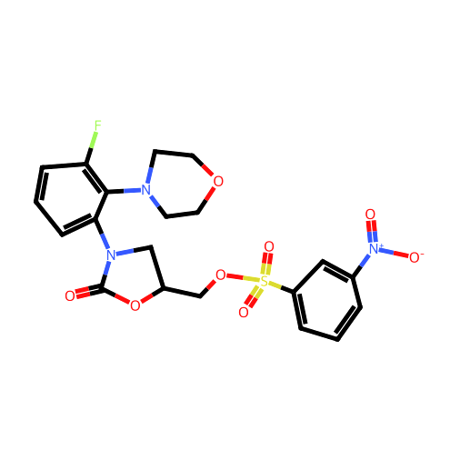 O=C1OC(COS(=O)(=O)c2cccc([N+](=O)[O-])c2)CN1c1cccc(F)c1N1CCOCC1